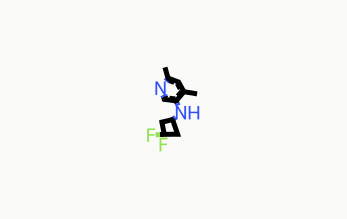 Cc1cc(C)c(NC2CC(F)(F)C2)cn1